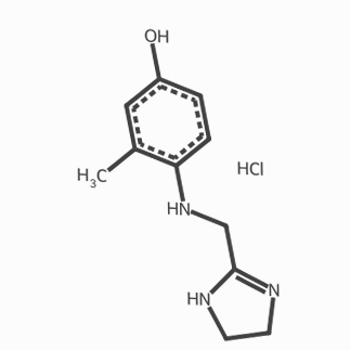 Cc1cc(O)ccc1NCC1=NCCN1.Cl